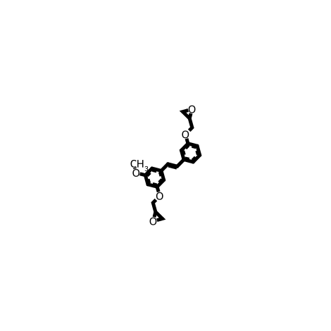 COc1cc(C=Cc2cccc(OCC3CO3)c2)cc(OCC2CO2)c1